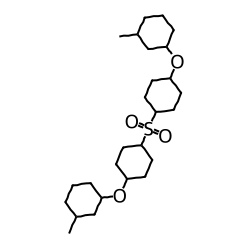 CC1CCCC(OC2CCC(S(=O)(=O)C3CCC(OC4CCCC(C)C4)CC3)CC2)C1